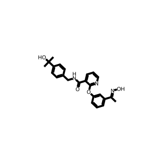 CC(=NO)c1cccc(Oc2ncccc2C(=O)NCc2ccc(C(C)(C)O)cc2)c1